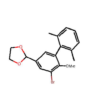 COc1c(Br)cc(C2OCCO2)cc1-c1c(C)cccc1C